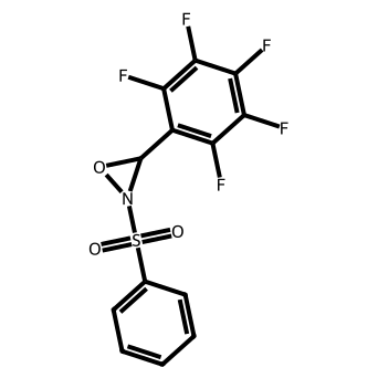 O=S(=O)(c1ccccc1)N1OC1c1c(F)c(F)c(F)c(F)c1F